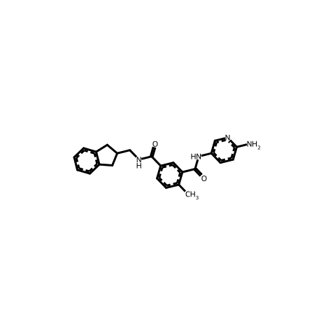 Cc1ccc(C(=O)NCC2Cc3ccccc3C2)cc1C(=O)Nc1ccc(N)nc1